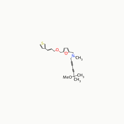 COC(C)(C)C#CC#CCN(C)Cc1ccc(COC/C=C/c2ccsc2)o1